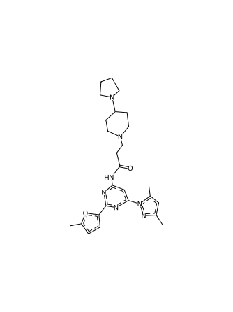 Cc1cc(C)n(-c2cc(NC(=O)CCN3CCC(N4CCCC4)CC3)nc(-c3ccc(C)o3)n2)n1